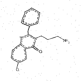 NCCCn1c(-c2ccccc2)nc2ccc(Cl)cc2c1=O